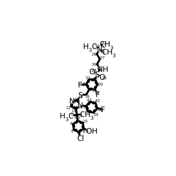 CC(C)(c1ccc(Cl)c(O)c1)c1cnc(SCc2c(F)cc(S(=O)(=O)NCCC[N+](C)(C)C)cc2F)n1-c1ccc(F)cc1